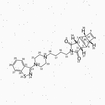 O=C1[C@@H]2C3C=CC([C@H]4C=C[C@@H]34)[C@@H]2C(=O)N1CCCCN1CCN(c2nsc3ccccc23)CC1